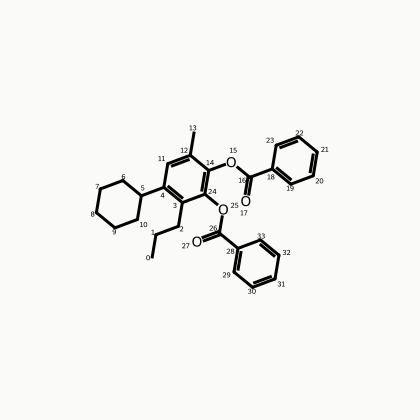 CCCc1c(C2CCCCC2)cc(C)c(OC(=O)c2ccccc2)c1OC(=O)c1ccccc1